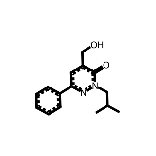 CC(C)Cn1nc(-c2ccccc2)cc(CO)c1=O